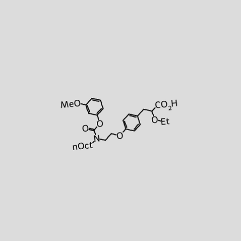 CCCCCCCCN(CCOc1ccc(CC(OCC)C(=O)O)cc1)C(=O)Oc1cccc(OC)c1